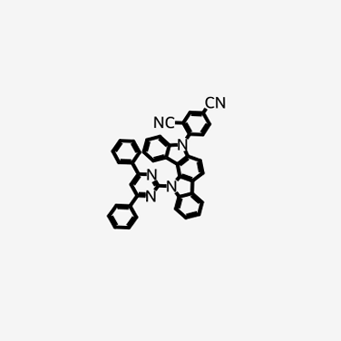 N#Cc1ccc(-n2c3ccccc3c3c2ccc2c4ccccc4n(-c4nc(-c5ccccc5)cc(-c5ccccc5)n4)c23)c(C#N)c1